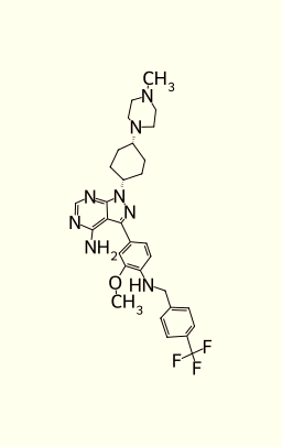 COc1cc(-c2nn([C@H]3CC[C@@H](N4CCN(C)CC4)CC3)c3ncnc(N)c23)ccc1NCc1ccc(C(F)(F)F)cc1